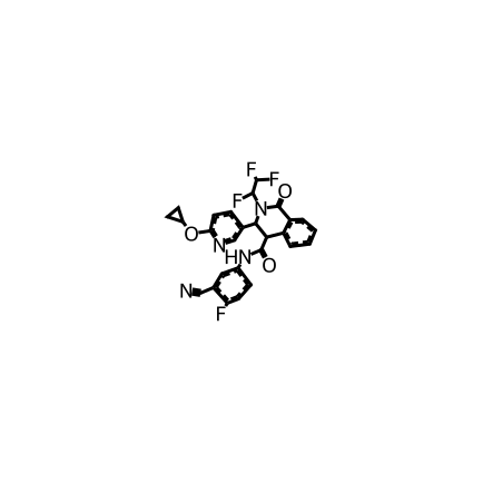 N#Cc1cc(NC(=O)C2c3ccccc3C(=O)N(C(F)C(F)F)C2c2ccc(OC3CC3)nc2)ccc1F